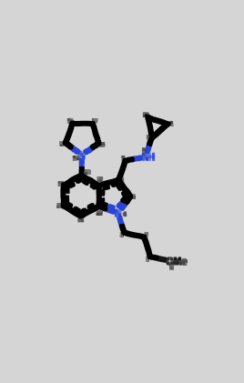 COCCCn1cc(CNC2CC2)c2c(N3CCCC3)cccc21